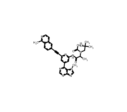 Cc1nccc2cc(C#Cc3cc(-c4ncnc5ncn(C)c45)cc(NC(=O)C(C)N(CC(C)(C)C)C(=O)O)n3)ccc12